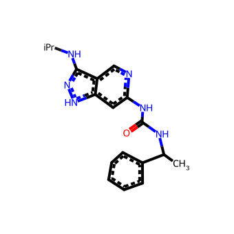 CC(C)Nc1n[nH]c2cc(NC(=O)NC(C)c3ccccc3)ncc12